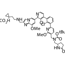 COc1nc(-c2cccc(-c3ccnc(-c4cc(OC)c5nc(CNCCC6(C(=O)O)CC6)cn5c4)c3Cl)c2Cl)ccc1CN(CC1CCC(=O)N1)C(=O)OC(C)(C)C